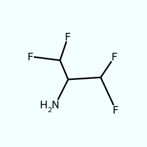 NC(C(F)F)C(F)F